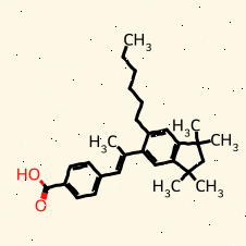 CCCCCCc1cc2c(cc1/C(C)=C/c1ccc(C(=O)O)cc1)C(C)(C)CC2(C)C